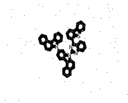 c1ccc2c(c1)ccc1c2c2ccccc2n1-c1ccc2c3c4ccccc4ccc3n(-c3nc(-c4cccc5c4sc4ccccc45)c4ccccc4n3)c2c1